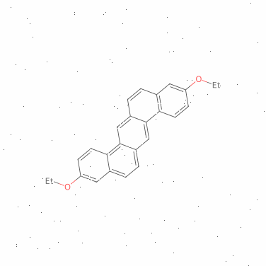 CCOc1ccc2c(ccc3cc4c(ccc5cc(OCC)ccc54)cc32)c1